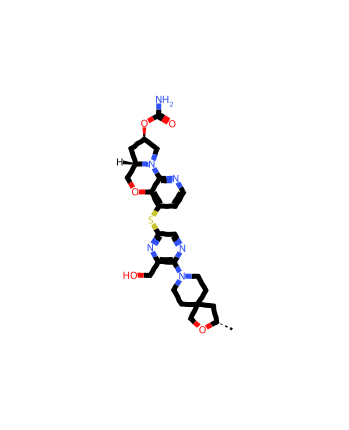 C[C@H]1CC2(CCN(c3ncc(Sc4ccnc5c4OC[C@@H]4C[C@@H](OC(N)=O)CN54)nc3CO)CC2)CO1